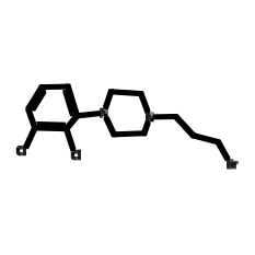 Clc1cccc(N2CCN(CCCBr)CC2)c1Cl